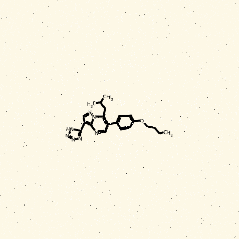 CCCCOc1ccc(-c2cnc3c(-c4nnn[nH]4)cnn3c2CC(C)C)cc1